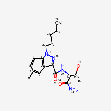 Cc1ccc2c(c1)c(C(=O)N[C@H](C(N)=O)[C@@H](C)O)nn2CCCCC#N